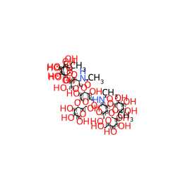 CC(=O)NC1[C@H](OC2[C@@H](O)[C@H](OC3[C@@H](O)[C@@H](O)[C@H](O)O[C@@H]3CO)O[C@H](COC3O[C@H](CO)[C@@H](OC4O[C@H](CO)[C@H](O)[C@H](O)[C@H]4O)[C@H](O[C@@H]4O[C@@H](C)[C@@H](O)[C@@H](O)[C@@H]4O)[C@H]3NC(C)=O)[C@@H]2O)O[C@H](CO)[C@@H](OC2O[C@@H](C)[C@@H](O)[C@@H](O)[C@H]2O)[C@@H]1OC1O[C@H](CO)[C@H](O)[C@H](O)[C@H]1O